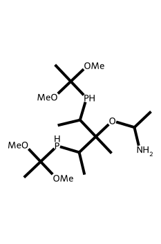 COC(C)(OC)PC(C)C(C)(OC(C)N)C(C)PC(C)(OC)OC